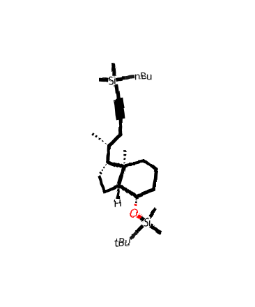 CCCC[Si](C)(C)C#CC[C@@H](C)[C@H]1CC[C@H]2[C@@H](O[Si](C)(C)C(C)(C)C)CCC[C@]12C